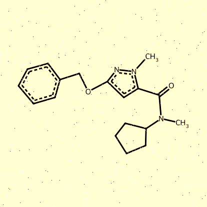 CN(C(=O)c1cc(OCc2ccccc2)nn1C)C1CCCC1